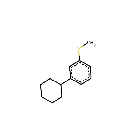 CSc1cccc(C2CCCCC2)c1